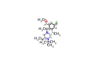 CC[C@@H]1CN(C(C)(C)C)[C@@H](CC)CN1C(C)c1ccc(F)cc1COC